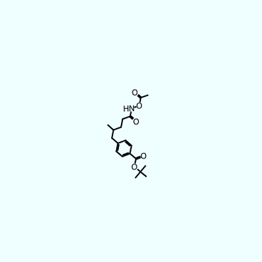 CC(=O)ONC(=O)CCC(C)Cc1ccc(C(=O)OC(C)(C)C)cc1